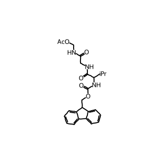 CC(=O)OCNC(=O)CNC(=O)C(NC(=O)OCC1c2ccccc2-c2ccccc21)C(C)C